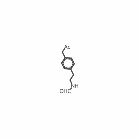 CC(=O)Cc1ccc(CCNC=O)cc1